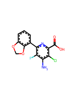 Nc1c(F)c(-c2cccc3c2OCO3)nc(C(=O)O)c1Cl